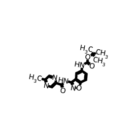 Cc1cnc(C(=O)Nc2noc3ccc(NC(=O)OC(C)(C)C)cc23)cn1